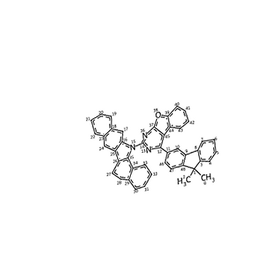 CC1(C)c2ccccc2-c2cc(-c3nc(-n4c5cc6ccccc6cc5c5ccc6ccccc6c54)nc4oc5ccccc5c34)ccc21